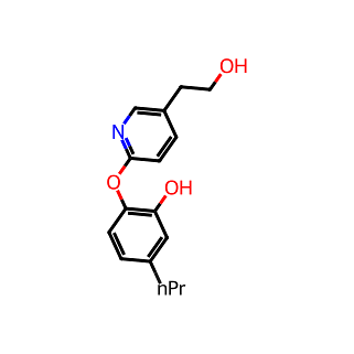 CCCc1ccc(Oc2ccc(CCO)cn2)c(O)c1